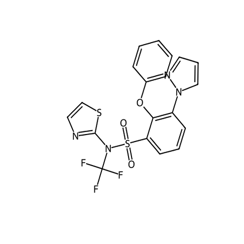 O=S(=O)(c1cccc(-n2cccn2)c1Oc1ccccc1)N(c1nccs1)C(F)(F)F